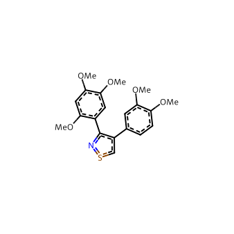 COc1ccc(-c2csnc2-c2cc(OC)c(OC)cc2OC)cc1OC